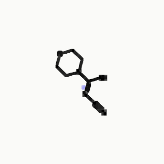 N#C/N=C(\S)N1CCOCC1